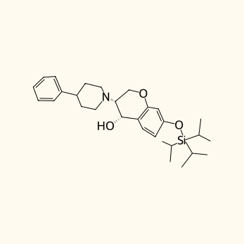 CC(C)[Si](Oc1ccc2c(c1)OC[C@@H](N1CCC(c3ccccc3)CC1)[C@H]2O)(C(C)C)C(C)C